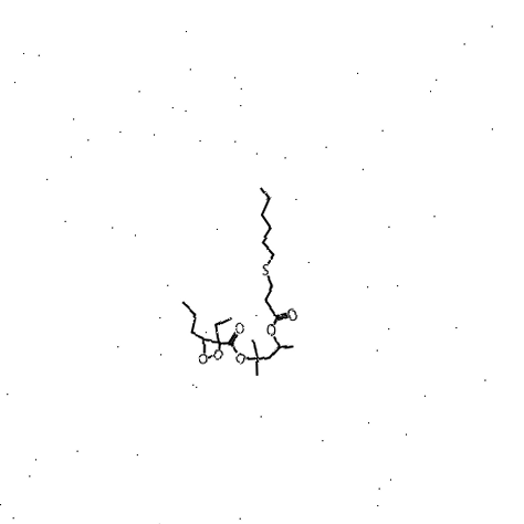 CCCCCCSCCC(=O)OC(C)CC(C)(C)OC(=O)C1(CC)OOC1CCC